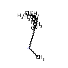 CCCCCCCC/C=C\CCCCCCCCCCCCCC(=O)O[C@H]1CC[C@@]2(C)C(=CC[C@H]3[C@@H]4CC[C@H](C(C)CCCC(C)C)[C@@]4(C)CC[C@@H]32)C1